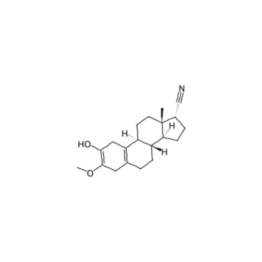 COC1=C(O)CC2=C(CC[C@@H]3[C@@H]2CC[C@]2(C)[C@H](C#N)CC[C@@H]32)C1